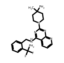 CC1(P)CCN(c2nc(NCc3ccccc3C(F)(F)P)c3cccnc3n2)CC1